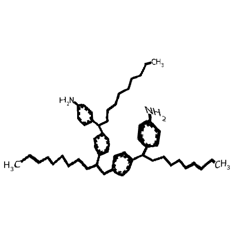 CCCCCCCCCC(Cc1ccc(C(CCCCCCCCC)c2ccc(N)cc2)cc1)c1ccc(C(CCCCCCCCC)c2ccc(N)cc2)cc1